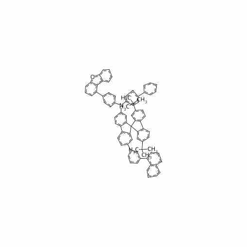 CC(C)(C)c1ccc2c(c1)C1(c3cc(-c4cccc(-c5cccc6ccccc56)c4)ccc3-c3ccc(N(c4ccc(-c5ccccc5)cc4)c4ccc(-c5cccc6oc7ccccc7c56)cc4)cc31)c1cc(C(C)(C)C)ccc1-2